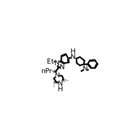 CCC[C@H](c1nc2cc(N[C@H]3CC[C@@](c4ccccc4)(N(C)C)CC3)ccc2n1CC)N1C[C@@H](C)N[C@@H](C)C1